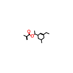 C=C(C)C(=O)OC(C)C1C=C(CC)CC(C)C1